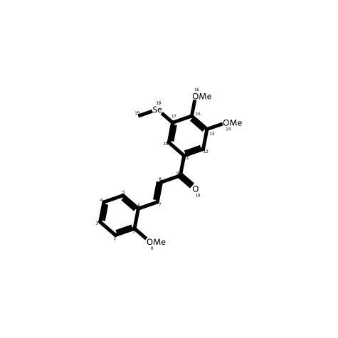 COc1ccccc1/C=C/C(=O)c1cc(OC)c(OC)c([Se]C)c1